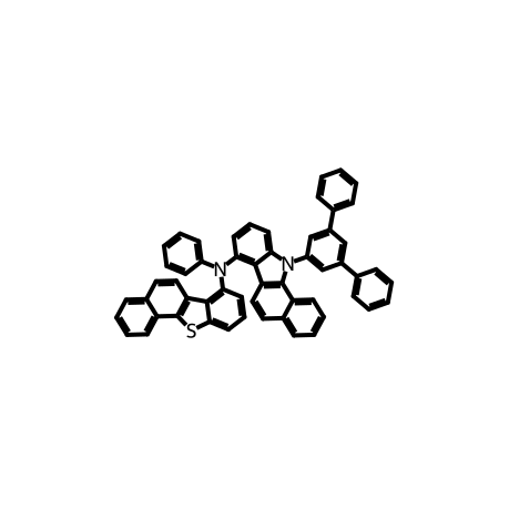 c1ccc(-c2cc(-c3ccccc3)cc(-n3c4cccc(N(c5ccccc5)c5cccc6sc7c8ccccc8ccc7c56)c4c4ccc5ccccc5c43)c2)cc1